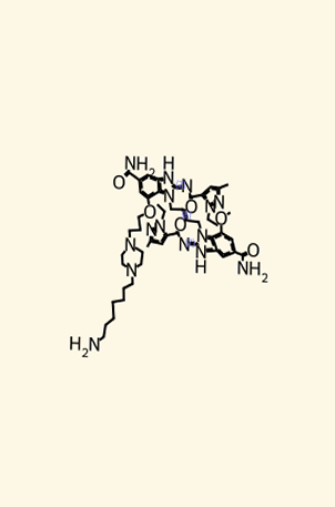 CCn1nc(C)cc1C(=O)/N=c1/[nH]c2cc(C(N)=O)cc(OC)c2n1C/C=C/Cn1/c(=N\C(=O)c2cc(C)nn2CC)[nH]c2cc(C(N)=O)cc(OCCCN3CCN(CCCCCCCN)CC3)c21